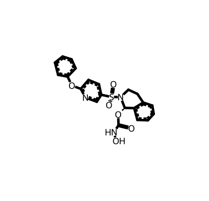 O=C(NO)O[C@H]1c2ccccc2CCN1S(=O)(=O)c1ccc(Oc2ccccc2)nc1